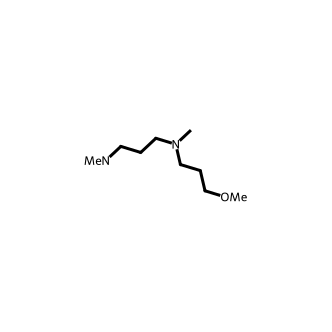 CNCCCN(C)CCCOC